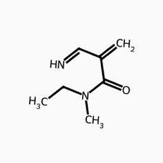 C=C(C=N)C(=O)N(C)CC